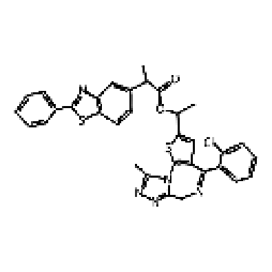 Cc1nnc2n1-c1sc(C(C)OC(=O)C(C)c3ccc4sc(-c5ccccc5)nc4c3)cc1C(c1ccccc1Cl)=NC2